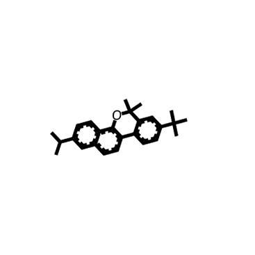 CC(C)c1ccc2c3c(ccc2c1)-c1ccc(C(C)(C)C)cc1C(C)(C)O3